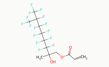 C=CC(=O)OCC(C)(O)C(F)(F)C(F)(F)C(F)(F)C(F)(F)C(F)(C(F)(F)F)C(F)(F)F